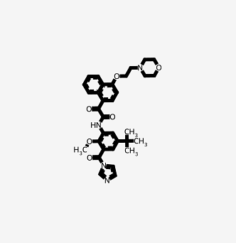 COc1c(NC(=O)C(=O)c2ccc(OCCN3CCOCC3)c3ccccc23)cc(C(C)(C)C)cc1C(=O)n1ccnc1